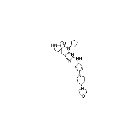 O=C1NCC[C@@]12Cc1cnc(Nc3ccc(N4CCC(N5CCOCC5)CC4)cc3)nc1N(C1CCCC1)C2=O